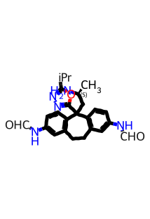 CC(C)c1nnc(C2(C[C@H](C)N)c3ccc(NC=O)cc3CCc3cc(NC=O)ccc32)o1